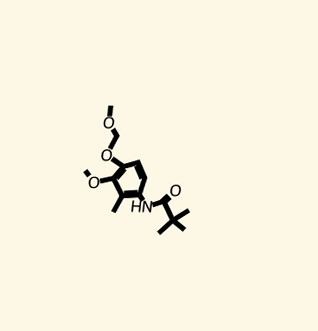 COCOc1ccc(NC(=O)C(C)(C)C)c(C)c1OC